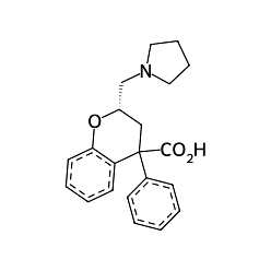 O=C(O)C1(c2ccccc2)C[C@@H](CN2CCCC2)Oc2ccccc21